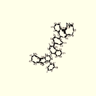 c1ccc(-c2nc(-c3ccc(-c4ccc(-c5cc6cccnc6c6ccccc56)cc4)c4ccccc34)nc3c2sc2ccccc23)cc1